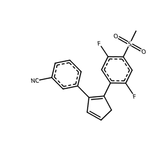 CS(=O)(=O)c1cc(F)c(C2=C(c3cccc(C#N)c3)C=CC2)cc1F